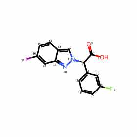 O=C(O)[C@@H](c1cccc(F)c1)n1cc2ccc(I)cc2n1